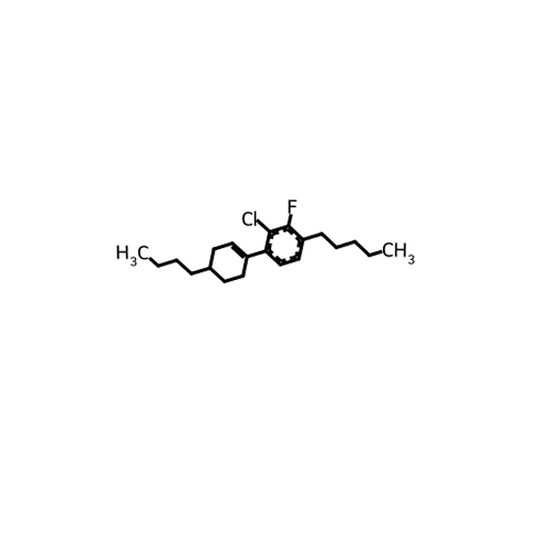 CCCCCc1ccc(C2=CCC(CCCC)CC2)c(Cl)c1F